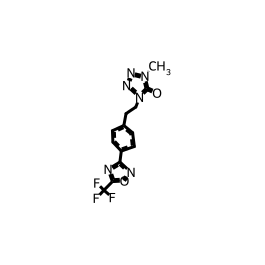 Cn1nnn(CCc2ccc(-c3noc(C(F)(F)F)n3)cc2)c1=O